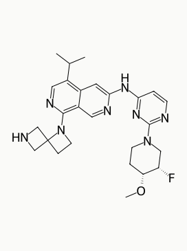 CO[C@@H]1CCN(c2nccc(Nc3cc4c(C(C)C)cnc(N5CCC56CNC6)c4cn3)n2)C[C@@H]1F